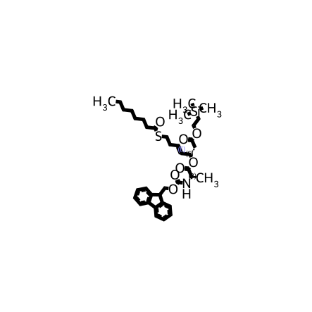 CCCCCCCC(=O)SCC/C=C/[C@H](CC(=O)OCC[Si](C)(C)C)OC(=O)[C@@H](C)NC(=O)OCC1c2ccccc2-c2ccccc21